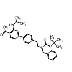 CC(C)Nc1cc(-c2ccc(CCN(Cc3ccccc3)C(=O)OC(C)(C)C)cc2)ccc1C(=O)O